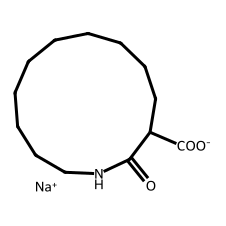 O=C([O-])C1CCCCCCCCCCNC1=O.[Na+]